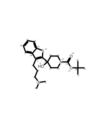 CN(C)CCCc1c(C2(O)CCN(C(=O)OC(C)(C)C)CC2)sc2ccccc12